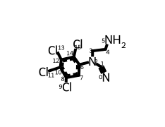 N#CN(CCN)c1cc(Cl)c(Cl)c(Cl)c1Cl